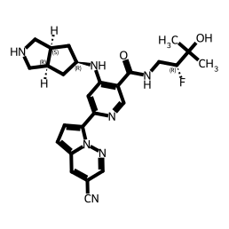 CC(C)(O)[C@H](F)CNC(=O)c1cnc(-c2ccc3cc(C#N)cnn23)cc1N[C@H]1C[C@H]2CNC[C@H]2C1